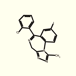 Cc1nnc2n1-c1ccc(I)cc1C(c1ccccc1Cl)=NC2